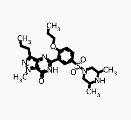 CCCOc1ccc(S(=O)(=O)N2CC(C)NC(C)C2)cc1-c1nc2c(CCC)nn(C)c2c(=O)[nH]1